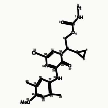 CCNC(=O)OCC(C1CC1)n1cc(Cl)nc(Nc2cc(C)c(OC)nc2C)c1=O